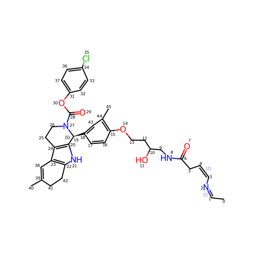 C/C=N\C=C/CC(=O)NCC(O)CCOc1ccc([C@H]2c3[nH]c4c(c3CCN2C(=O)Oc2ccc(Cl)cc2)C=C(C)CC4)cc1C